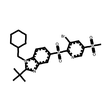 CC(C)(C)c1nc2cc(S(=O)(=O)c3ncc(S(C)(=O)=O)cc3Br)ccc2n1CC1CCCCC1